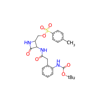 Cc1ccc(S(=O)(=O)OCC2NC(=O)C2NC(=O)Cc2ccccc2NC(=O)OC(C)(C)C)cc1